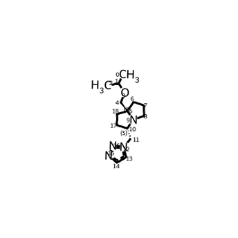 CC(C)OC[C@@]12CCCN1[C@H](Cn1ccnn1)CC2